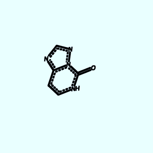 O=c1[nH]ccc2ncnn12